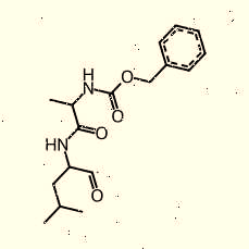 CC(C)CC([C]=O)NC(=O)C(C)NC(=O)OCc1ccccc1